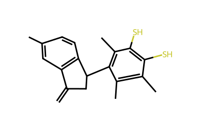 C=C1CC(c2c(C)c(C)c(S)c(S)c2C)c2ccc(C)cc21